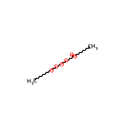 CCCCCCCCCCOCCOCCOCCOCCCC(=O)OCCCCCCCCC